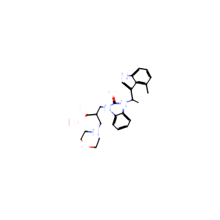 Cc1cccc2[nH]cc(C(C)n3c(=O)n(CC(CN4CCOCC4)C(=O)O)c4ccccc43)c12